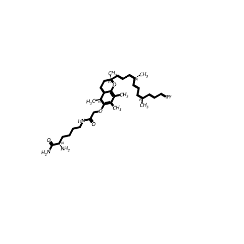 CC1=C2O[C@](C)(CCC[C@H](C)CCC[C@H](C)CCCC(C)C)CCC2[C@H](C)C(OCC(=O)NCCCC[C@H](N)C(N)=O)=C1C